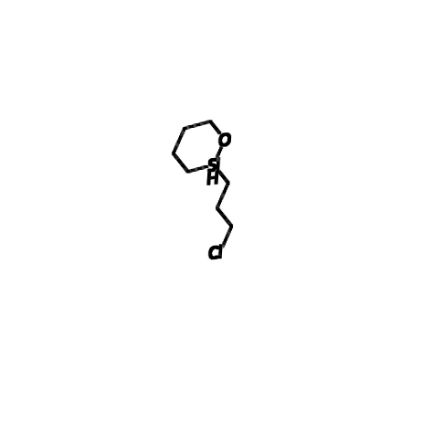 ClCCC[SiH]1CCCCO1